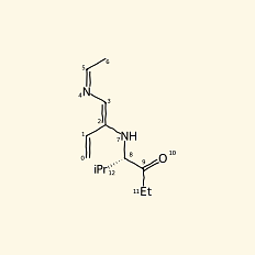 C=C/C(=C\N=C/C)N[C@H](C(=O)CC)C(C)C